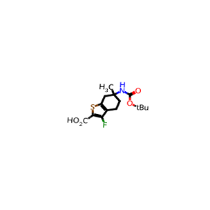 CC1(NC(=O)OC(C)(C)C)CCc2c(sc(C(=O)O)c2F)C1